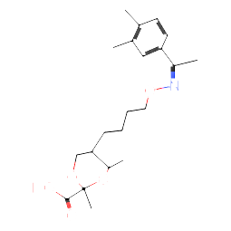 CC(=NOCCCCC1COC(C)(C(=O)O)OC1C)c1ccc(C)c(C)c1